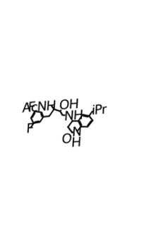 CC(=O)NC(Cc1cc(F)cc(F)c1)C(O)CNC1CC(=O)Nc2ccc(C(C)C)cc21